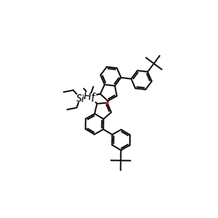 CC[Si](CC)=[Hf]([CH3])([CH3])([CH]1C=Cc2c(-c3cccc(C(C)(C)C)c3)cccc21)[CH]1C=Cc2c(-c3cccc(C(C)(C)C)c3)cccc21